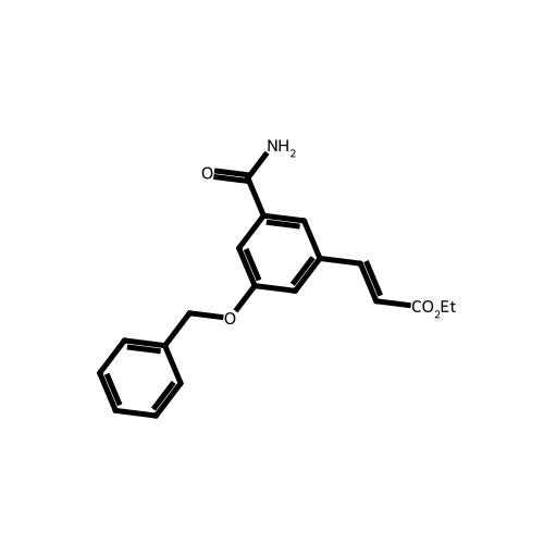 CCOC(=O)C=Cc1cc(OCc2ccccc2)cc(C(N)=O)c1